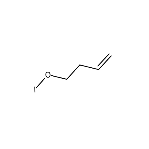 C=CCCOI